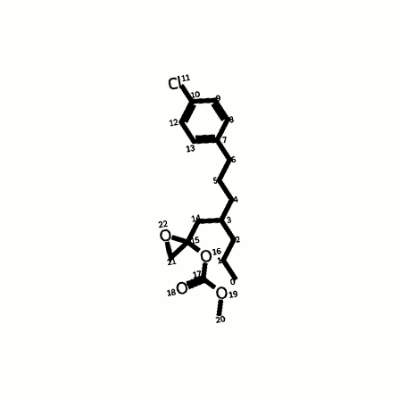 CCCC(CCCc1ccc(Cl)cc1)CC1(OC(=O)OC)CO1